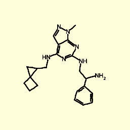 Cn1ncc2c(NCC3CC34CCC4)nc(NCC(N)c3ccccc3)nc21